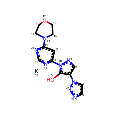 Oc1c(-n2ccnn2)cnn1-c1cc(N2CCOCC2)ncn1.[K]